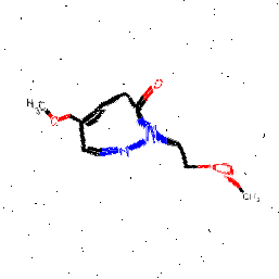 COCCn1ncc(OC)cc1=O